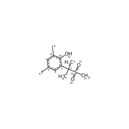 CC(C)(c1cc(I)cc(I)c1O)S(C)(=O)=O